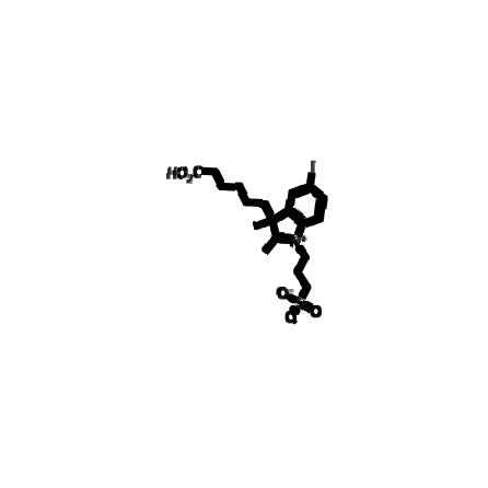 CC1=[N+](CCCS(=O)(=O)[O-])c2ccc(I)cc2C1(C)CCCCCC(=O)O